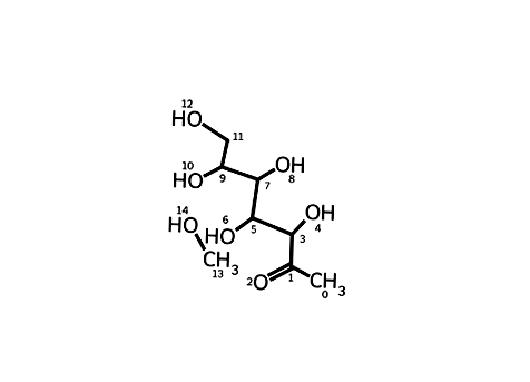 CC(=O)C(O)C(O)C(O)C(O)CO.CO